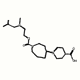 CC(C)CN(C)CCOC(=O)N1CCCC(N2CCC(C(=O)O)CC2)CC1